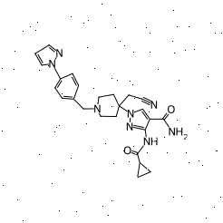 N#CCC1(n2cc(C(N)=O)c(NC(=O)C3CC3)n2)CCN(Cc2ccc(-n3cccn3)cc2)CC1